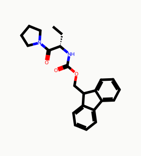 CC[C@H](NC(=O)OCC1c2ccccc2-c2ccccc21)C(=O)N1CCCC1